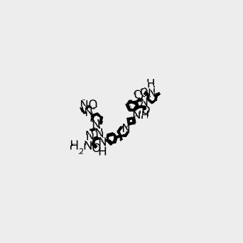 C=C1CCC(N2C(=O)c3cccc(N[C@H]4C[C@@H](N5CCC(C)(c6ccc(Nc7nc(N8CCC[C@H](N9CCN(C)C9=O)C8)cnc7C(N)=O)cc6)CC5)C4)c3C2=O)C(=O)N1